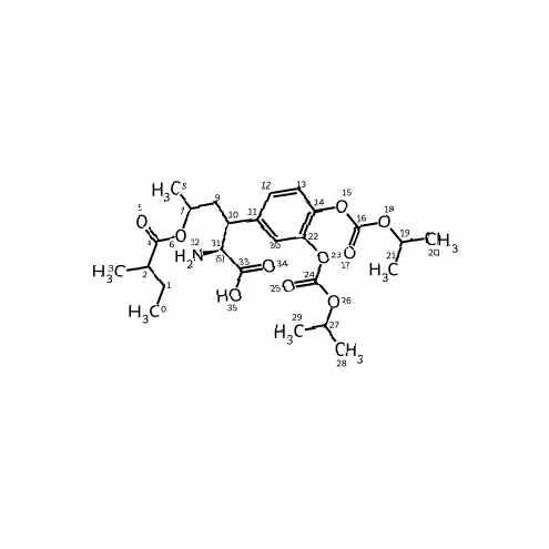 CCC(C)C(=O)OC(C)CC(c1ccc(OC(=O)OC(C)C)c(OC(=O)OC(C)C)c1)[C@H](N)C(=O)O